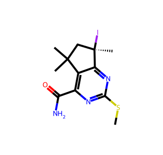 CSc1nc(C(N)=O)c2c(n1)[C@](C)(I)CC2(C)C